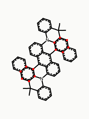 CC1(C)c2ccccc2N(c2cccc3c(-c4cccc5ccccc45)c4c(N5c6ccccc6C(C)(C)c6ccccc65)cccc4c(-c4cccc5ccccc45)c23)c2ccccc21